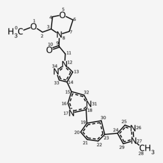 COCC1COCCN1C(=O)Cn1cc(-c2cnc(-c3cccc(-c4cnn(C)c4)c3)nc2)cn1